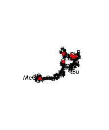 CO[C@@H]1CO[C@H]2[C@@H]1OC[C@H]2OCCOCCOC1CCC(c2nccc(COc3ccc4cc3C[C@H](C(=O)OC(C)(C)C)Oc3ncnc5sc(-c6ccc(F)cc6)c(c35)-c3c(C)c(Cl)c(c(Cl)c3C)O[C@H](CN3CCN(C)CC3)CO4)n2)CC1